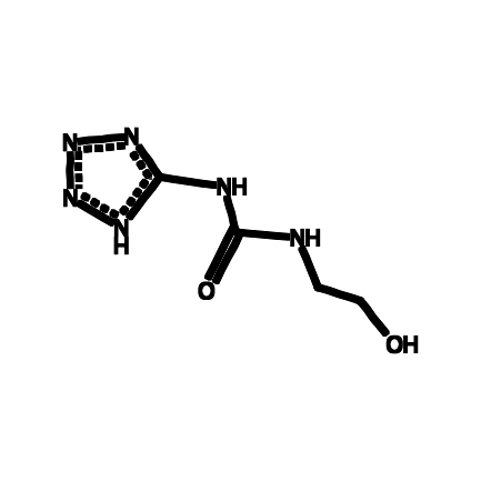 O=C(NCCO)Nc1nnn[nH]1